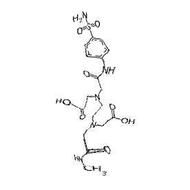 CNC(=O)CN(CCN(CC(=O)O)CC(=O)Nc1ccc(S(N)(=O)=O)cc1)CC(=O)O